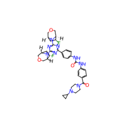 O=C(Nc1ccc(C(=O)N2CCN(C3CC3)CC2)cc1)Nc1ccc(-c2nc(N3[C@@H]4COC[C@H]3[C@@H](F)C4)nc(N3[C@@H]4COC[C@H]3[C@@H](F)C4)n2)cc1